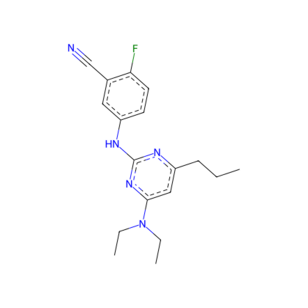 CCCc1cc(N(CC)CC)nc(Nc2ccc(F)c(C#N)c2)n1